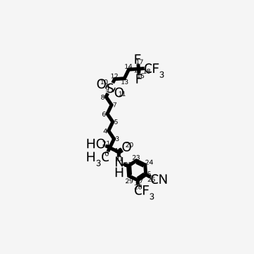 CC(O)(CCCCCCS(=O)(=O)CCCC(F)(F)C(F)(F)F)C(=O)Nc1ccc(C#N)c(C(F)(F)F)c1